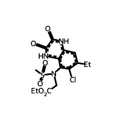 CCOC(=O)CN(c1c(Cl)c(CC)cc2[nH]c(=O)c(=O)[nH]c12)S(C)(=O)=O